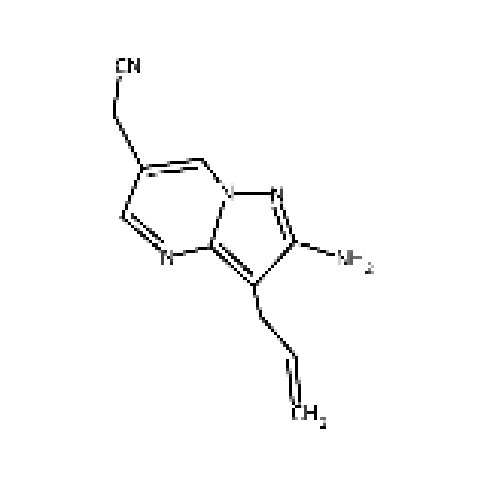 C=CCc1c(N)nn2cc(CC#N)cnc12